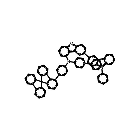 c1ccc(-c2ccc(N(c3ccc(-c4cccc5c4-c4ccccc4C54c5ccccc5-c5ccccc54)cc3)c3cccc4oc5ccc(-c6ccc7c(c6)c6ccccc6n7-c6ccccc6)cc5c34)cc2)cc1